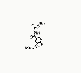 CONc1cc(C(=O)NCC(=O)OC(C)(C)C)ccc1F